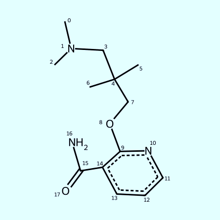 CN(C)CC(C)(C)COc1ncccc1C(N)=O